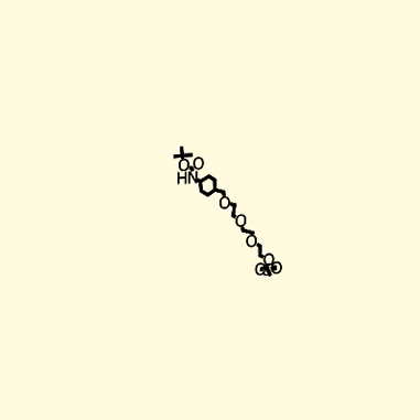 CC(C)(C)OC(=O)NC1CCC(COCCOCCOCCOS(C)(=O)=O)CC1